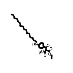 CCCCCCCCCCCCCCCCNc1ccc(C(=O)C(C(=O)OF)C(=O)OCC)cc1